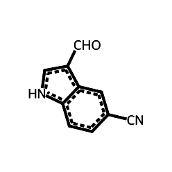 N#Cc1ccc2[nH]cc(C=O)c2c1